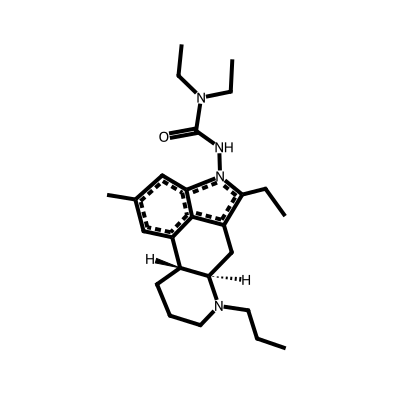 CCCN1CCC[C@@H]2c3cc(C)cc4c3c(c(CC)n4NC(=O)N(CC)CC)C[C@H]21